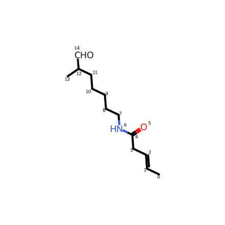 C/C=C/CC(=O)NCCCCCC(C)C=O